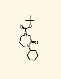 CC(C)(C)OC(=O)N1CCCN(C2CCCCC2)C(=O)C1